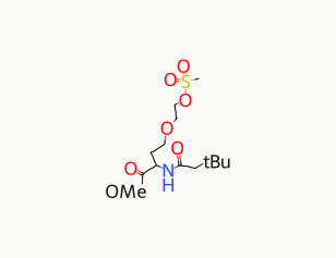 COC(=O)C(CCOCCOS(C)(=O)=O)NC(=O)CC(C)(C)C